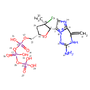 C=C1NC(N)=Nn2c([C@@H]3O[C@H](COP(=O)(O)OP(=O)(O)OP(=O)(O)O)C[C@@]3(C)F)cnc21